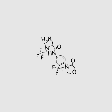 CN(CC(F)(F)F)[C@@H](CN)C(=O)Nc1ccc(N2CCOCC2=O)c(C(F)(F)F)c1